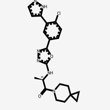 C[C@@H](Nc1nnc(-c2ccc(Cl)c(-c3ccn[nH]3)c2)o1)C(=O)N1CCC2(CC1)CC2